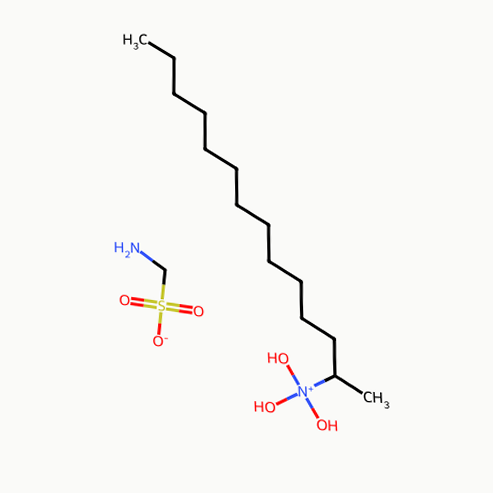 CCCCCCCCCCCCC(C)[N+](O)(O)O.NCS(=O)(=O)[O-]